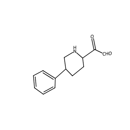 O=CC(=O)C1CCC(c2ccccc2)CN1